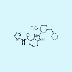 O=C(Nc1nccs1)c1cccc2[nH]c(-c3cc(CN4CCCC4)ccc3C(F)(F)F)nc12